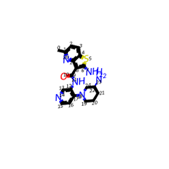 Cc1ccc2sc(N)c(C(=O)Nc3cnccc3N3CCC[C@H](N)C3)c2n1